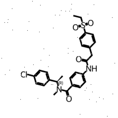 CCS(=O)(=O)c1ccc(CC(=O)Nc2ccc(C(=O)N(C)[C@H](C)c3ccc(Cl)cc3)cc2)cc1